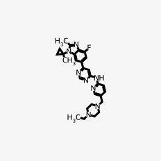 CCN1CCN(Cc2ccc(Nc3cc(-c4cc(F)c5nc(C)n(C6(C)CC6)c5c4)ncn3)nc2)CC1